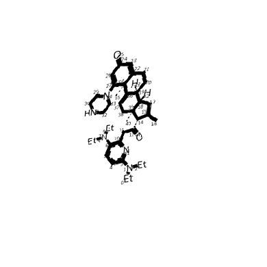 CCN(CC)c1ccc(N(CC)CC)c(CC(=O)[C@H]2C(C)C[C@H]3[C@@H]4CCC5=CC(=O)C=C(N6CCNCC6)[C@]5(C)C4=CC[C@]23C)n1